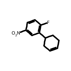 O=[N+]([O-])c1ccc(F)c(C2CC=CCC2)c1